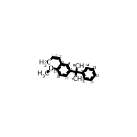 C/C=C\c1cc(C(C)(C)c2ccccc2)ccc1OC